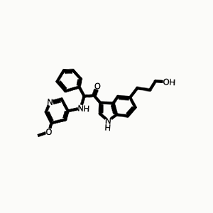 COc1cncc(NC(C(=O)c2c[nH]c3ccc(CCCO)cc23)c2ccccc2)c1